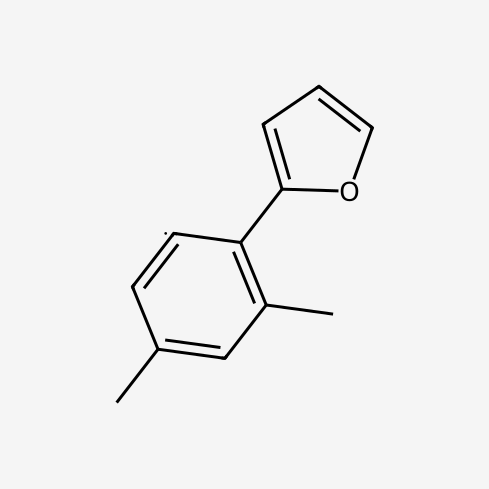 Cc1c[c]c(-c2ccco2)c(C)c1